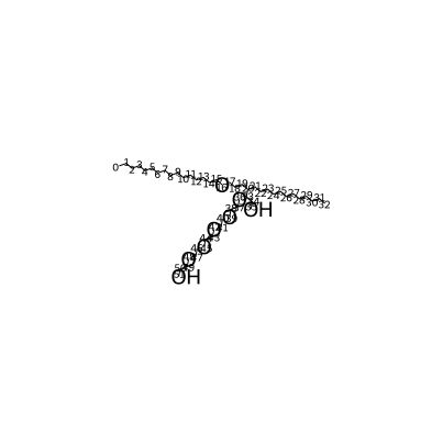 CCCCCCCCCCCCCCCCOCCCC(CCCCCCCCCCCC)C(CO)OCCOCCOCCOCCOCCO